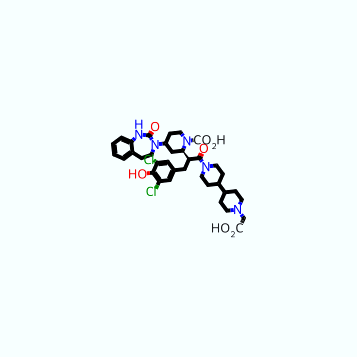 O=C(O)CN1CCC(C2CCN(C(=O)C(Cc3cc(Cl)c(O)c(Cl)c3)[C@H]3CC(N4CCc5ccccc5NC4=O)CCN3C(=O)O)CC2)CC1